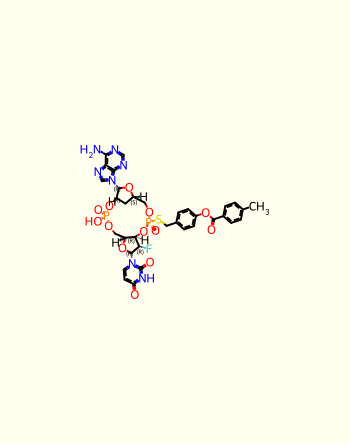 Cc1ccc(C(=O)Oc2ccc(CSP3(=O)OC[C@@H]4C[C@@H](OP(=O)(O)OC[C@H]5O[C@@H](n6ccc(=O)[nH]c6=O)[C@H](F)[C@@H]5O3)[C@H](n3cnc5c(N)ncnc53)O4)cc2)cc1